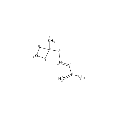 C=C(C)/C=N/CC1(C)COC1